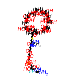 CNC(CSCC1O[C@@H]2O[C@@H]3C(CO)O[C@H](O[C@@H]4C(CO)O[C@H](O[C@@H]5C(CO)O[C@H](O[C@@H]6C(C)O[C@H](O[C@@H]7C(CO)O[C@H](O[C@@H]8C(CO)O[C@H](O[C@H]1C(O)[C@@H]2O)[C@@H](O)C8O)[C@@H](O)C7O)C(O)[C@H]6O)C(O)[C@H]5O)[C@@H](O)C4O)[C@@H](O)C3O)C(=O)NCCC(=O)OCC(=O)OCOP(=O)(O)OC[C@H]1O[C@@H](n2ccc(N)nc2=O)C(F)(F)[C@@H]1O